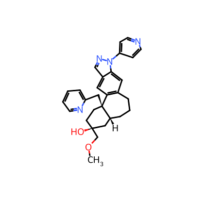 COC[C@]1(O)CC[C@]2(Cc3ccccn3)c3cc4cnn(-c5ccncc5)c4cc3CCC[C@@H]2C1